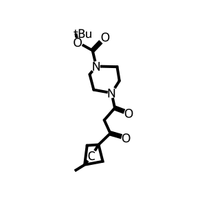 CC12CC(C(=O)CC(=O)N3CCN(C(=O)OC(C)(C)C)CC3)(C1)C2